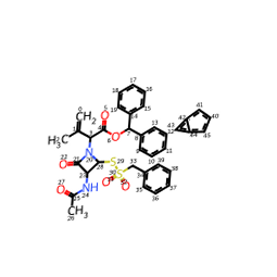 C=C(C)C(C(=O)OC(c1ccccc1)c1ccccc1)N1C(=O)C(NC(C)=O)C1SS(=O)(=O)Cc1ccccc1.c1cc2cc-2c1